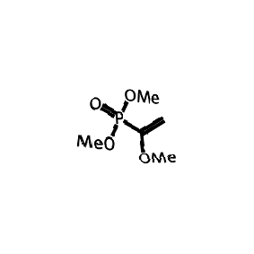 C=C(OC)P(=O)(OC)OC